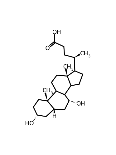 C[C@H](CCC(=O)O)C1CCC2C3C(CC[C@@]21C)[C@@]1(C)CC[C@@H](O)C[C@H]1C[C@H]3O